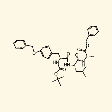 CC(C)C[C@H](NC(=O)[C@H](Cc1ccc(OCc2ccccc2)cc1)NC(=O)OC(C)(C)C)C(=O)N[C@@H](C)C(=O)OCc1ccccc1